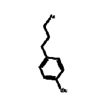 CC(=O)CCCc1ccc(C(C)(C)C)cc1